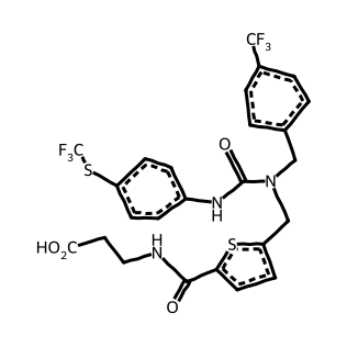 O=C(O)CCNC(=O)c1ccc(CN(Cc2ccc(C(F)(F)F)cc2)C(=O)Nc2ccc(SC(F)(F)F)cc2)s1